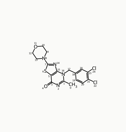 Cc1nc(=O)c2sc(N3CCOCC3)nc2n1Cc1ccc(Cl)c(Cl)c1